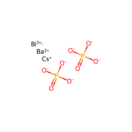 O=P([O-])([O-])[O-].O=P([O-])([O-])[O-].[Ba+2].[Bi+3].[Cs+]